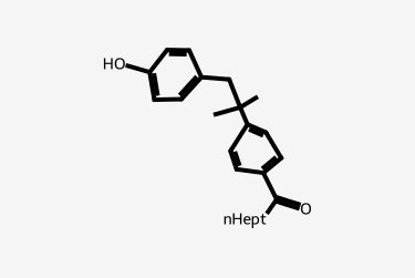 CCCCCCCC(=O)c1ccc(C(C)(C)Cc2ccc(O)cc2)cc1